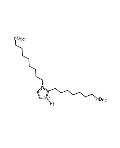 CCCCCCCCCCCCCCCCCCn1cc[n+](CC)c1CCCCCCCCCCCCCCCCC